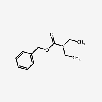 CCN(CC)C(=O)OCc1ccccc1